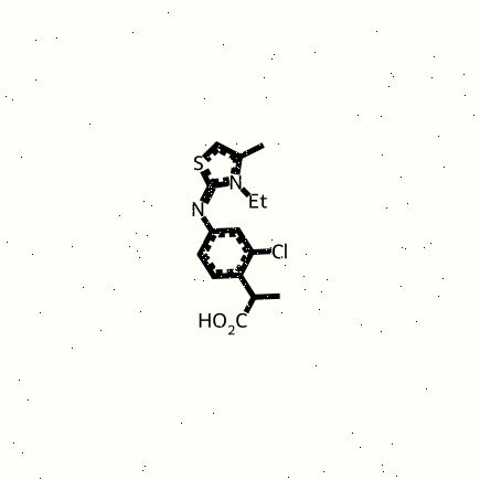 CCn1c(C)csc1=Nc1ccc(C(C)C(=O)O)c(Cl)c1